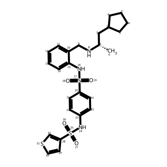 C[C@@H](CC1CCCC1)NCc1ccccc1NS(=O)(=O)c1ccc(NS(=O)(=O)c2ccsc2)cc1